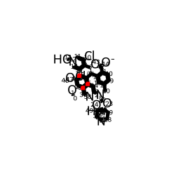 COc1ccc([C@H](Cc2c(Cl)c[n+](O)cc2Cl)c2cc(CN(C(=O)O[C@H]3CN4CCC3CC4)c3ccccn3)ccc2C(=O)[O-])cc1OC